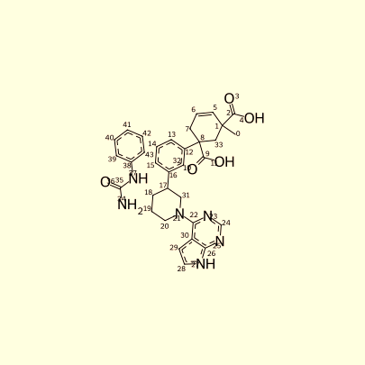 CC1(C(=O)O)C=CCC(C(=O)O)(c2cccc(C3CCCN(c4ncnc5[nH]ccc45)C3)c2)C1.NC(=O)Nc1ccccc1